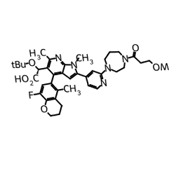 COCCC(=O)N1CCCN(c2cc(-c3cc4c(-c5cc(F)c6c(c5C)CCCO6)c([C@H](OC(C)(C)C)C(=O)O)c(C)nc4n3C)ccn2)CC1